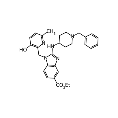 CCOC(=O)c1ccc2c(c1)nc(NC1CCN(Cc3ccccc3)CC1)n2Cc1nc(C)ccc1O